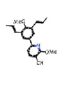 CC=Cc1cc(-c2ccc(C#N)c(OC)n2)cc(C=CC)c1OC